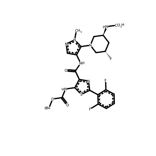 Cn1ncc(NC(=O)c2nc(-c3c(F)cccc3F)sc2NC(=O)OC(C)(C)C)c1N1C[C@@H](F)C[C@H](NC(=O)O)C1